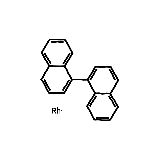 [Rh].c1ccc2c(-c3cccc4ccccc34)cccc2c1